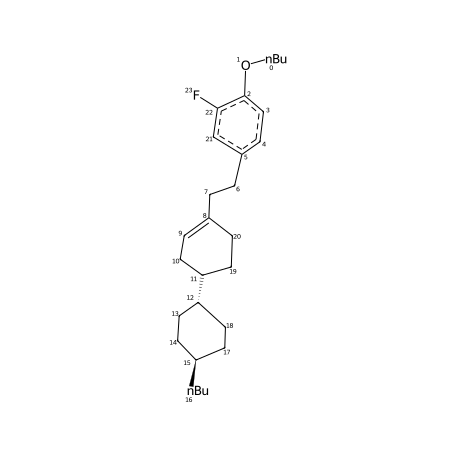 CCCCOc1ccc(CCC2=CCC([C@H]3CC[C@H](CCCC)CC3)CC2)cc1F